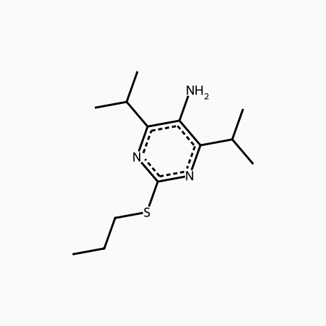 CCCSc1nc(C(C)C)c(N)c(C(C)C)n1